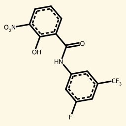 O=C(Nc1cc(F)cc(C(F)(F)F)c1)c1cccc([N+](=O)[O-])c1O